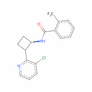 O=C(N[C@@H]1CCC1c1ncccc1Cl)c1ccccc1C(F)(F)F